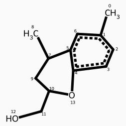 Cc1ccc2c(c1)C(C)CC(CO)O2